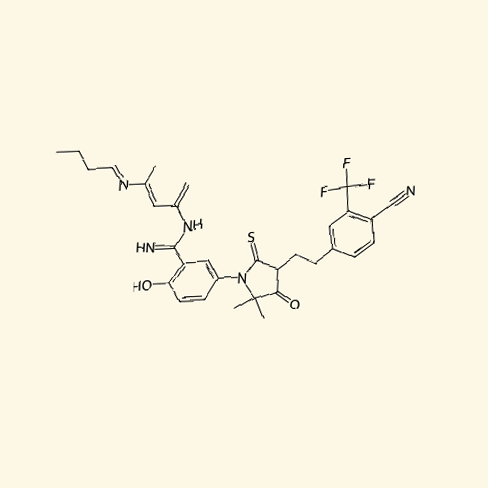 C=C(/C=C(C)/N=C/CCC)NC(=N)c1cc(N2C(=S)C(CCc3ccc(C#N)c(C(F)(F)F)c3)C(=O)C2(C)C)ccc1O